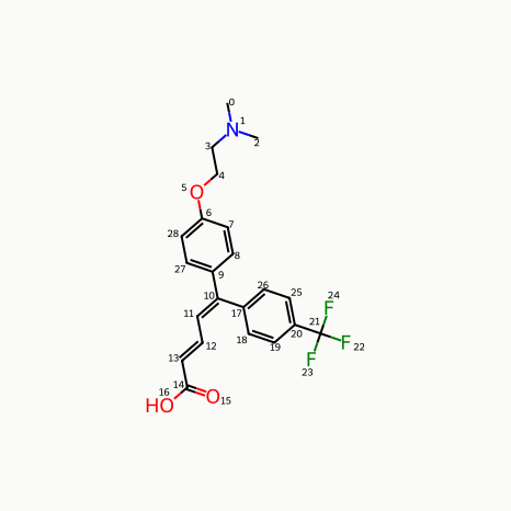 CN(C)CCOc1ccc(C(=CC=CC(=O)O)c2ccc(C(F)(F)F)cc2)cc1